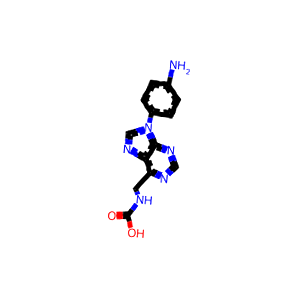 Nc1ccc(-n2cnc3c(CNC(=O)O)ncnc32)cc1